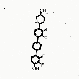 CC1CCC(c2ccc(-c3ccc(-c4ccc(O)c(F)c4F)cc3)c(F)c2F)OC1